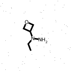 CCN(N)C1COC1